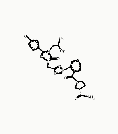 NC(=O)[C@H]1CCN(C(=O)c2ccccc2-n2cnc(Cn3nc(-c4ccc(Cl)cc4)n(CC(O)C(F)(F)F)c3=O)n2)C1